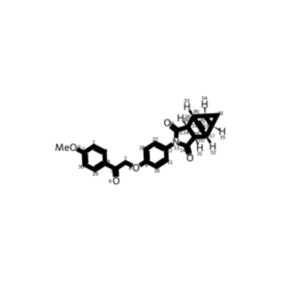 COc1ccc(C(=O)COc2ccc(N3C(=O)[C@@H]4[C@@H]5C=C[C@@H]([C@H]6C[C@@H]56)[C@@H]4C3=O)cc2)cc1